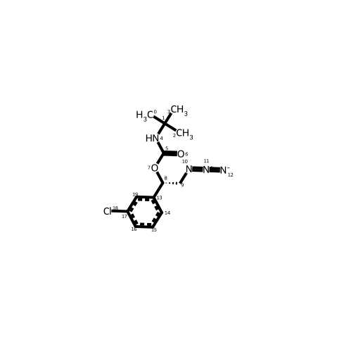 CC(C)(C)NC(=O)O[C@H](CN=[N+]=[N-])c1cccc(Cl)c1